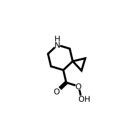 O=C(OO)C1CCNCC12CC2